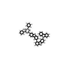 c1ccc(C2=NC(c3ccc4c(c3)sc3ccc(-c5cccc6oc7ccc(-n8c9ccccc9c9ccccc98)cc7c56)cc34)=NC(c3ccccc3)N2)cc1